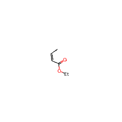 [CH2]COC(=O)/C=C\C